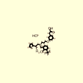 CC(CN(CCCOc1cccc(CC(=O)O)c1)Cc1cccc(C(F)(F)F)c1Cl)c1cccs1.Cl